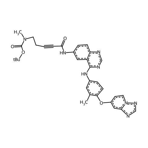 Cc1cc(Nc2ncnc3ccc(NC(=O)C#CCCN(C)C(=O)OC(C)(C)C)cc23)ccc1Oc1ccn2ncnc2c1